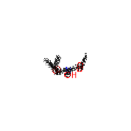 CCCCCCCCC(C)OC(=O)CCCCCCCN(CCO)CCCCCCC(C)C(=O)OC(CCCCCCCC)CCCCCCCC